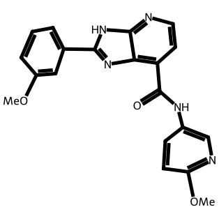 COc1cccc(-c2nc3c(C(=O)Nc4ccc(OC)nc4)ccnc3[nH]2)c1